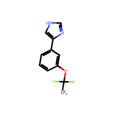 FC(F)(F)C(F)(F)Oc1cccc(-c2c[nH][c]n2)c1